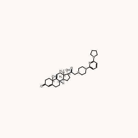 C[C@]12CCC(=O)C=C1CC[C@@H]1C2=CC[C@@]2(C)[C@H]1CC[C@]2(O)C(=O)CN1CCN(c2cccc(N3CCCC3)n2)CC1